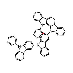 c1ccc(-n2c3ccccc3c3cc(-n4c5ccccc5c5cc(-n6c7ccccc7c7ccc8c9ccccc9n(-c9ccccc9)c8c76)ccc54)ccc32)cc1